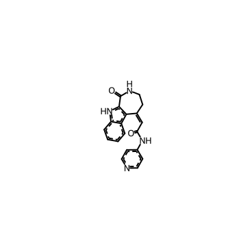 O=C(/C=C1/CCNC(=O)c2[nH]c3ccccc3c21)Nc1ccncc1